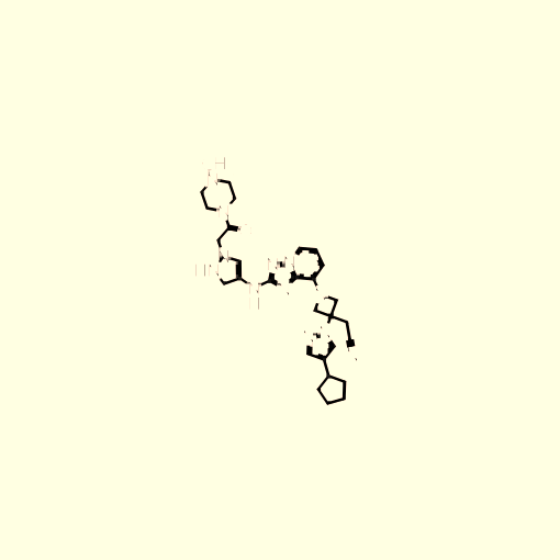 CN1CCN(C(=O)CN2C=C(Nc3nc4c(N5CC(CC#N)(n6cc(C7CCCC7)cn6)C5)cccn4n3)CN2)CC1